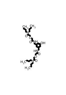 CCCCN(CCCC)C(=O)COCC(=O)NCc1cc(O)cc(CNC(=O)COCC(=O)N(CCCC)CCCC)c1